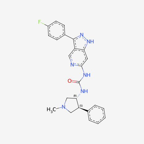 CN1C[C@H](NC(=O)Nc2cc3[nH]nc(-c4ccc(F)cc4)c3cn2)[C@@H](c2ccccc2)C1